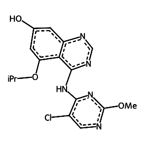 COc1ncc(Cl)c(Nc2ncnc3cc(O)cc(OC(C)C)c23)n1